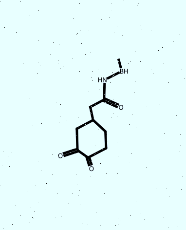 CBNC(=O)CC1CCC(=O)C(=O)C1